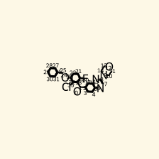 O=C(c1ccc2ncc(N3CCOCC3)nc2c1)c1c(F)ccc(OCc2ccccc2)c1Cl